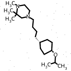 CC(C)O[C@H]1CC[C@H](CCCCN2CCN(C)C(C)(C)C2)CC1